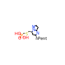 CCCCCc1cc(CSCP(=O)(O)O)n2nccc2n1